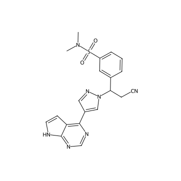 CN(C)S(=O)(=O)c1cccc(C(CC#N)n2cc(-c3ncnc4[nH]ccc34)cn2)c1